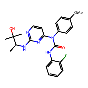 COc1ccc(N(C(=O)Nc2ccccc2F)c2ccnc(N[C@@H](C)C(C)(C)O)n2)cc1